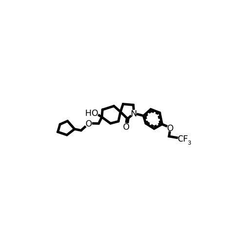 O=C1N(c2ccc(OCC(F)(F)F)cc2)CCC12CCC(O)(COCC1CCCC1)CC2